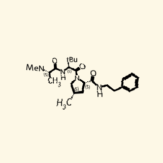 CN[C@@H](C)C(=O)N[C@H](C(=O)N1C[C@@H](C)C[C@H]1C(=O)NCCc1ccccc1)C(C)(C)C